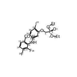 CCOP(=O)(COc1cc(Nc2c(C(=O)O)ccc(F)c2F)ccc1I)OCC